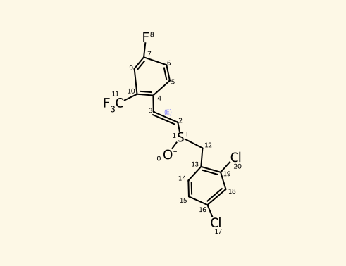 [O-][S+](/C=C/c1ccc(F)cc1C(F)(F)F)Cc1ccc(Cl)cc1Cl